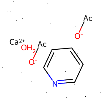 CC(=O)[O-].CC(=O)[O-].O.[Ca+2].c1ccncc1